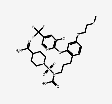 COCCOc1ccc(CCCN(C(=O)O)S(=O)(=O)N2CCC(C(N)=O)CC2)c(Oc2ncc(C(F)(F)F)cc2Cl)c1